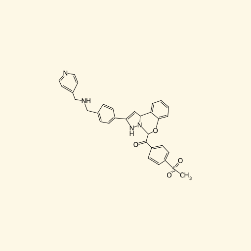 CS(=O)(=O)c1ccc(C(=O)C2Oc3ccccc3C3C=C(c4ccc(CNCc5ccncc5)cc4)NN23)cc1